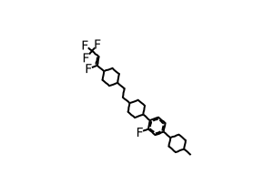 CC1CCC(c2ccc(C3CCC(CCC4CCC(/C(F)=C/C(F)(F)F)CC4)CC3)c(F)c2)CC1